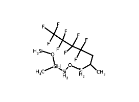 CC(CC(F)(F)C(F)(F)C(F)(F)C(F)(F)F)[SiH2]O[SiH2][SiH](C)O[SiH3]